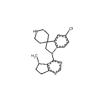 CC1CCc2ncnc(N3CC4(CCNCC4)c4cc(Cl)ccc43)c21